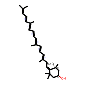 CO[C@]1(C)C[C@@H](O)CC(C)(C)/C1=C/C/C(C)=C/C=C/C(C)=C/C=C/C=C(C)/C=C/C=C(C)C